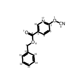 N#COc1ccc(C(=O)OCc2ccccc2)cn1